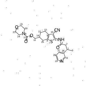 CC(CC(=O)Nc1sc2c(c1C#N)CCC(COC(=O)N1CCOCC1)C2)c1cccnc1